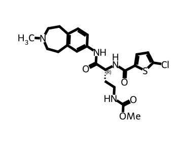 COC(=O)NCC[C@@H](NC(=O)c1ccc(Cl)s1)C(=O)Nc1ccc2c(c1)CCN(C)CC2